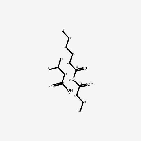 CC(C)CC(=O)O.CCCCCC(=O)OC(=O)CCC